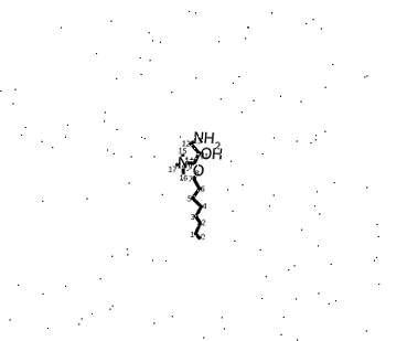 CCCCCCCCOC(C(O)CN)[N+](C)(C)C